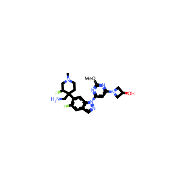 COc1nc(N2CC(O)C2)cc(-n2ncc3cc(F)c(C4(CN)CCN(C)CC4F)cc32)n1